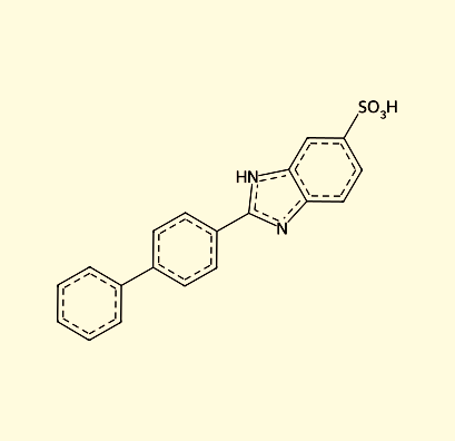 O=S(=O)(O)c1ccc2nc(-c3ccc(-c4ccccc4)cc3)[nH]c2c1